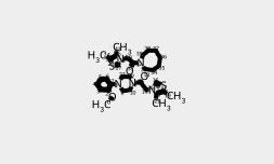 COc1ccccc1N1CCN(C(=O)C[n+]2csc(C)c2C)CC1.Cc1sc[n+](CC(=O)N2CCCCCCC2)c1C